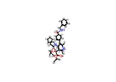 Cc1nc(C)c([C@H](OC(C)(C)C)C(=O)OC(C)C)c(N2CCC3(CCCC3)C2)c1-c1ccc(C(=O)NCc2ccccc2)cc1